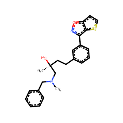 CN(Cc1ccccc1)C[C@@](C)(O)CCc1cccc(-c2noc3ccsc23)c1